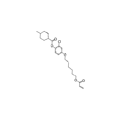 C=CC(=O)OCCCCCCOc1ccc(OC(=O)C2CCC(C)CC2)c(Cl)c1